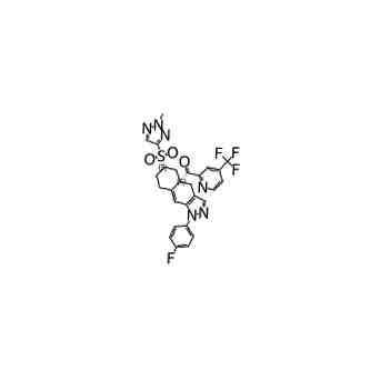 Cn1ncc(S(=O)(=O)[C@H]2CCC3=Cc4c(cnn4-c4ccc(F)cc4)C[C@]3(C(=O)c3cc(C(F)(F)F)ccn3)C2)n1